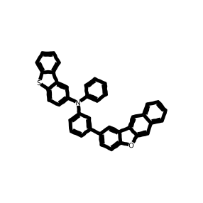 c1ccc(N(c2cccc(-c3ccc4oc5cc6ccccc6cc5c4c3)c2)c2ccc3sc4ccccc4c3c2)cc1